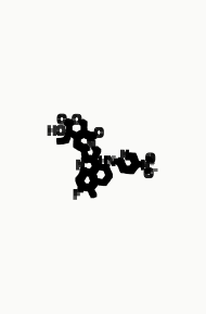 CC[C@@]1(O)C(=O)OCc2c1cc1n(c2=O)Cc2c-1nc1cc(F)c(C)c3c1c2[C@@H](Nc1ccc([N+](=O)[O-])cn1)CC3